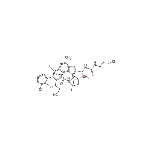 Cc1nc2c(F)c(-c3cccc(Cl)c3Cl)c(CCC#N)cc2c2c1cc([C@@H](C)NC(=O)NCCCCl)n2[C@H]1[C@@H]2C[C@H]1N(C(=O)OC(C)(C)C)C2